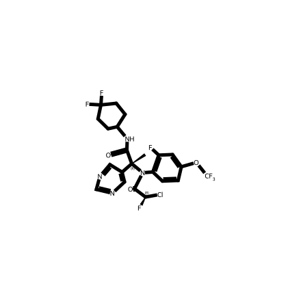 C[C@](C(=O)NC1CCC(F)(F)CC1)(c1cncnc1)N(C(=O)[C@H](F)Cl)c1ccc(OC(F)(F)F)cc1F